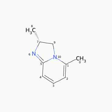 CC1=CC=CC2=N[C@H](C)CN12